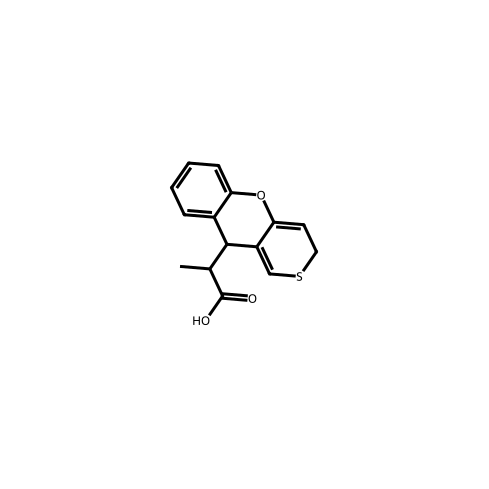 CC(C(=O)O)C1C2=CSCC=C2Oc2ccccc21